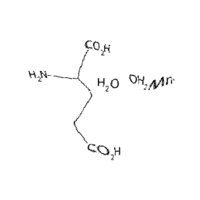 NC(CCC(=O)O)C(=O)O.O.O.[Mn]